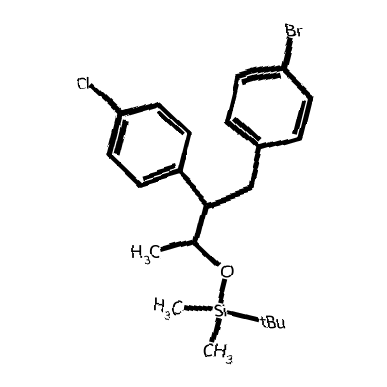 CC(O[Si](C)(C)C(C)(C)C)C(Cc1ccc(Br)cc1)c1ccc(Cl)cc1